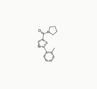 Cc1ccccc1-c1ncc(C(=O)N2CCCC2)s1